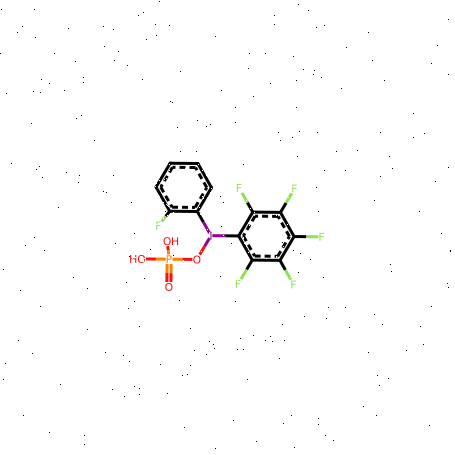 O=P(O)(O)OI(c1ccccc1F)c1c(F)c(F)c(F)c(F)c1F